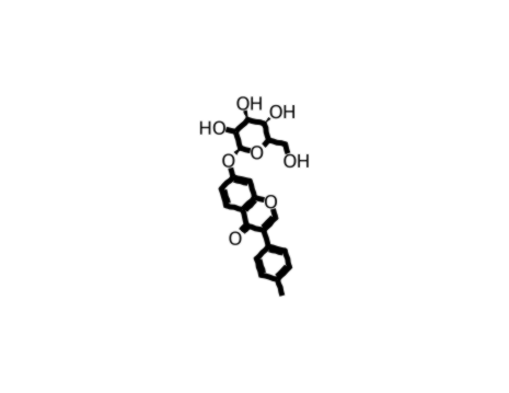 Cc1ccc(-c2coc3cc(O[C@@H]4OC(CO)[C@@H](O)[C@H](O)C4O)ccc3c2=O)cc1